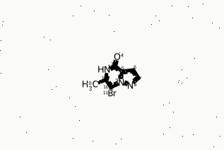 Cc1[nH]c(=O)c2ccnn2c1Br